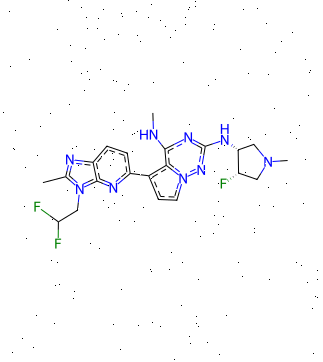 CNc1nc(N[C@@H]2CN(C)C[C@@H]2F)nn2ccc(-c3ccc4nc(C)n(CC(F)F)c4n3)c12